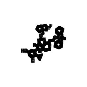 CC(C)(C)[Si](OCCN1CCOc2nc(-c3cc(O)cc(Cl)c3C3CC3)c(F)c3nc(OC[C@@]45CCCN4C[C@H](F)C5)nc1c23)(c1ccccc1)c1ccccc1